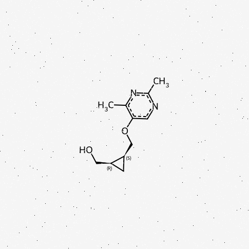 Cc1ncc(OC[C@H]2C[C@H]2CO)c(C)n1